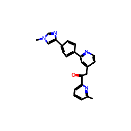 Cc1cccc(C(=O)Cc2ccnc(-c3ccc(-c4cn(C)cn4)cc3)c2)n1